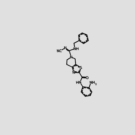 N#C/N=C(/NCc1ccccc1)N1CCc2nc(C(=O)Nc3ccccc3N)sc2C1